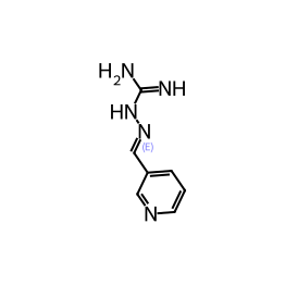 N=C(N)N/N=C/c1cccnc1